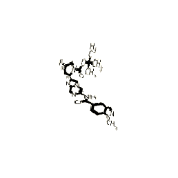 Cn1ncc2cc(C(=O)Nc3cn4cc([C@H]5C[C@@H](F)CN5C(=O)OC(C)(C)C)nc4cn3)ccc21